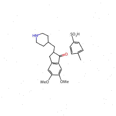 COc1cc2c(cc1OC)C(=O)C(CC1CCNCC1)C2.Cc1ccc(S(=O)(=O)O)cc1